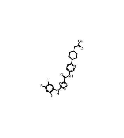 O=C(O)C[C@H]1CC[C@H](c2ccc(NC(=O)c3nnc(Nc4cc(F)c(F)cc4F)o3)cn2)CC1